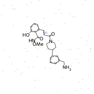 CONC(=O)c1c(O)cccc1/C=C/C(=O)N1CCC(c2cccc(CN)c2)CC1